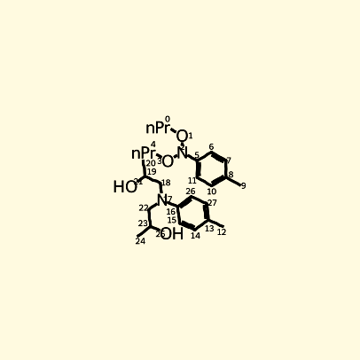 CCCON(OCCC)c1ccc(C)cc1.Cc1ccc(N(CC(C)O)CC(C)O)cc1